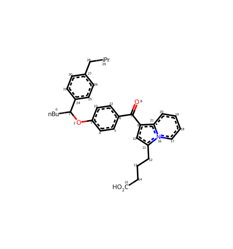 CCCCC(Oc1ccc(C(=O)c2cc(CCCC(=O)O)n3ccccc23)cc1)c1ccc(CC(C)C)cc1